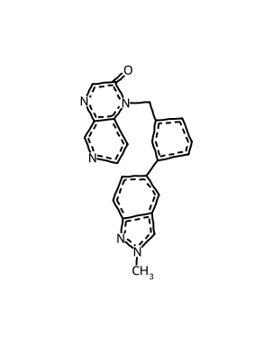 Cn1cc2cc(-c3cccc(Cn4c(=O)cnc5cnccc54)c3)ccc2n1